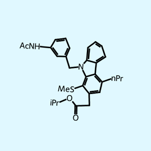 CCCc1cc(CC(=O)OC(C)C)c(SC)c2c1c1ccccc1n2Cc1cccc(NC(C)=O)c1